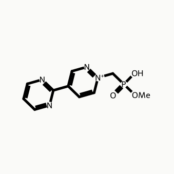 COP(=O)(O)C[n+]1ccc(-c2ncccn2)cn1